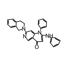 O=c1cc(Nc2ccccc2)n(-c2ccccc2)c2cc(N3CCc4ccccc4C3)ncc12